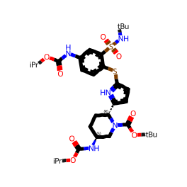 CC(C)OC(=O)Nc1ccc(Sc2ccc([C@H]3CC[C@H](NC(=O)OC(C)C)CN3C(=O)OC(C)(C)C)[nH]2)c(S(=O)(=O)NC(C)(C)C)c1